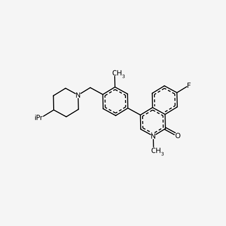 Cc1cc(-c2cn(C)c(=O)c3cc(F)ccc23)ccc1CN1CCC(C(C)C)CC1